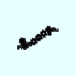 CCC(C)n1ncn(-c2ccc(N3CCN(c4ccc(OC[C@@H]5CO[C@@](Cn6nccn6)(C(C)C)O5)cc4)CC3)cc2)c1=O